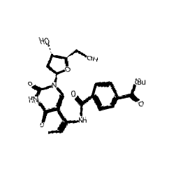 C/C=C(/NC(=O)c1ccc(C(=O)C(C)(C)C)cc1)c1cn([C@H]2C[C@H](O)[C@@H](CO)O2)c(=O)[nH]c1=O